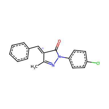 CC1=NN(c2ccc(Cl)cc2)C(=O)/C1=C/c1ccccc1